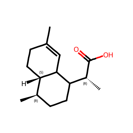 CC1=CC2C([C@@H](C)C(=O)O)CC[C@@H](C)[C@@H]2CC1